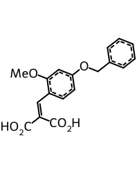 COc1cc(OCc2ccccc2)ccc1C=C(C(=O)O)C(=O)O